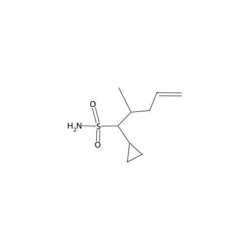 C=CCC(C)C(C1CC1)S(N)(=O)=O